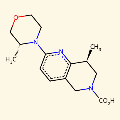 C[C@@H]1COCCN1c1ccc2c(n1)[C@@H](C)CN(C(=O)O)C2